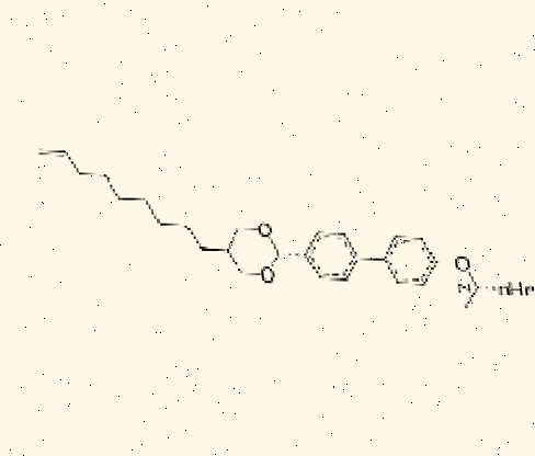 C=CCCCCCCC[C@H]1CO[C@H](c2ccc(-c3ccc(O[C@@H](C)CCCCCC)cc3)cc2)OC1